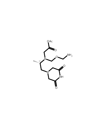 CC(=O)OC(=O)CN(COCN)[C@@H](C)CN1CC(=O)NC(=O)C1